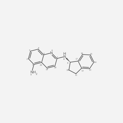 Nc1cccc2nc(N[C@@H]3CCc4ccccc43)ccc12